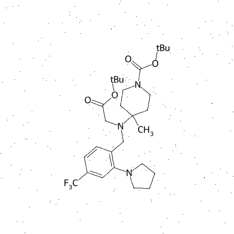 CC(C)(C)OC(=O)CN(Cc1ccc(C(F)(F)F)cc1N1CCCC1)C1(C)CCN(C(=O)OC(C)(C)C)CC1